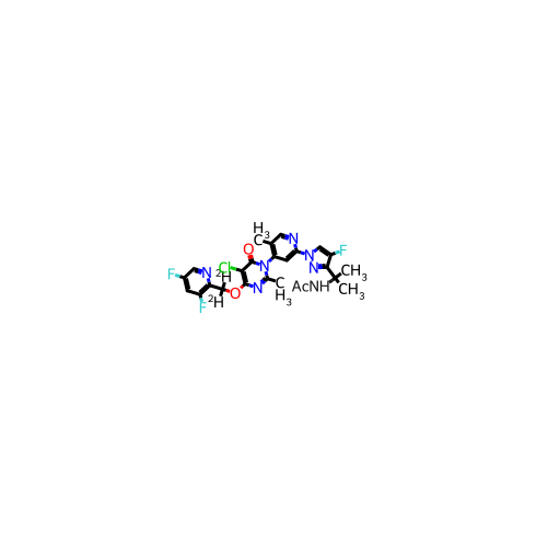 [2H]C([2H])(Oc1nc(C)n(-c2cc(-n3cc(F)c(C(C)(C)NC(C)=O)n3)ncc2C)c(=O)c1Cl)c1ncc(F)cc1F